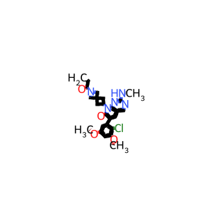 C=CC(=O)N1CC2(CC(n3c(=O)c(-c4cc(OC)cc(OC)c4Cl)cc4cnc(NC)nc43)C2)C1